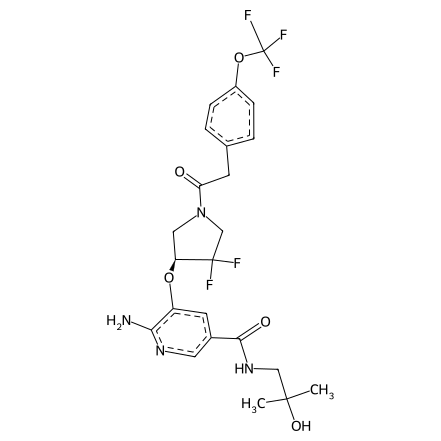 CC(C)(O)CNC(=O)c1cnc(N)c(O[C@H]2CN(C(=O)Cc3ccc(OC(F)(F)F)cc3)CC2(F)F)c1